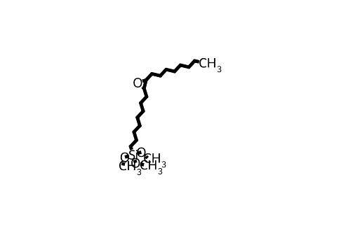 CCCCCCCCC1OC1CCCCCCCC[Si](OC)(OC)OC